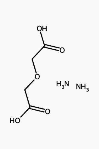 N.N.O=C(O)COCC(=O)O